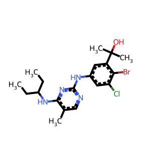 CCC(CC)Nc1nc(Nc2cc(Cl)c(Br)c(C(C)(C)O)c2)ncc1C